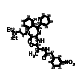 CCN(CC)CCN1C(=O)C(NC(=O)[C@H](C)NC(=O)Cc2cccc([N+](=O)[O-])c2)N=C(c2ccccn2)c2ccccc21